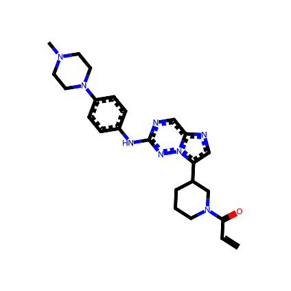 C=CC(=O)N1CCCC(c2cnc3cnc(Nc4ccc(N5CCN(C)CC5)cc4)nn23)C1